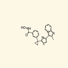 Cc1nc2ccccn2c1-c1csc(C2(c3cccc(C(=O)NO)c3)CC2)n1